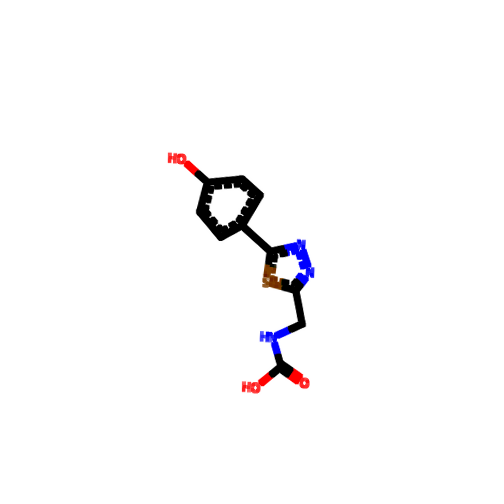 O=C(O)NCc1nnc(-c2ccc(O)cc2)s1